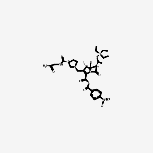 CC[Si](CC)(CC)OC(C)[C@H]1C(=O)N2C(C(=O)OC(=O)c3ccc([N+](=O)[O-])cc3)=C(CN3CC[C@H](C(=O)NCC(N)=O)C3)[C@H](C)[C@H]12